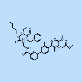 CCCCC[C@@H](C(=O)NCNC(=O)c1cccc(-c2ccc(C(=O)N[C@@H](CC(=O)OC)C(=O)OC)c(C)c2)n1)[C@@H](CC)N(C=O)OCc1ccccc1